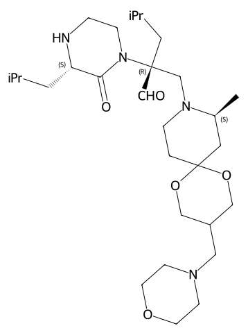 CC(C)C[C@@H]1NCCN([C@](C=O)(CC(C)C)CN2CCC3(C[C@@H]2C)OCC(CN2CCOCC2)CO3)C1=O